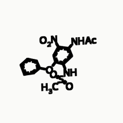 CC(=O)Nc1cc(NS(C)(=O)=O)c(Oc2ccccc2)cc1[N+](=O)[O-]